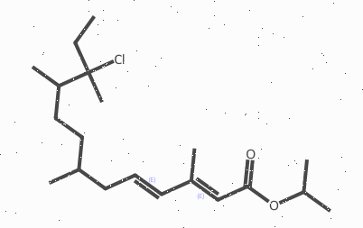 CCC(C)(Cl)C(C)CCC(C)C/C=C/C(C)=C/C(=O)OC(C)C